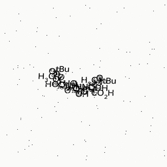 CC(OC(=O)c1cc(NC(=O)c2cc(O)c(C(=O)Nc3cc(C(=O)O)c(O)c(C(C)OC(=O)C(C)(C)C)c3)cc2O)ccc1O)OC(=O)C(C)(C)C